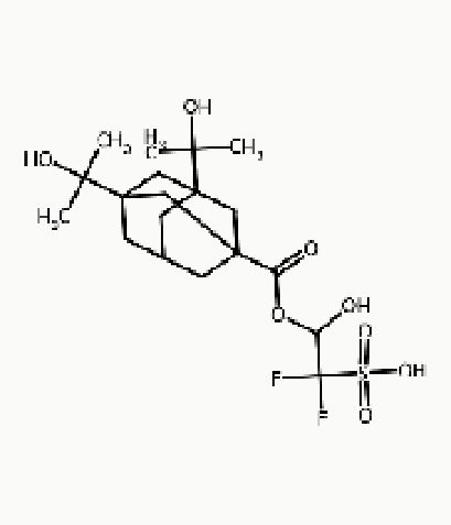 CC(C)(O)C12CC3CC(C(=O)OC(O)C(F)(F)S(=O)(=O)O)(C1)CC(C(C)(C)O)(C3)C2